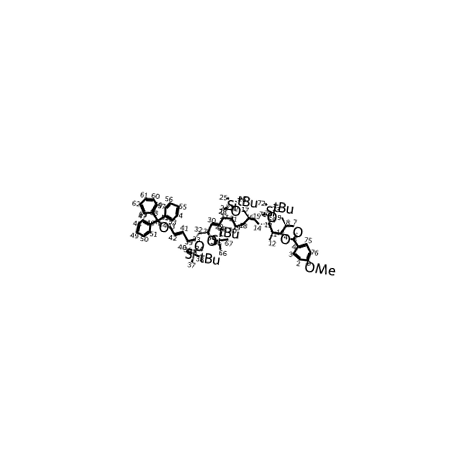 COc1ccc(C2OC[C@H](C)[C@@H]([C@@H](C)[C@H](CC[C@H](C)C[C@H](C)[C@@H](O[Si](C)(C)C(C)(C)C)[C@@H](C)C=C[C@H](C[C@H](O[Si](C)(C)C(C)(C)C)[C@H](C)C=CCOC(c3ccccc3)(c3ccccc3)c3ccccc3)O[Si](C)(C)C(C)(C)C)O[Si](C)(C)C(C)(C)C)O2)cc1